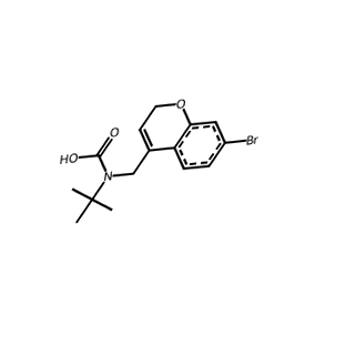 CC(C)(C)N(CC1=CCOc2cc(Br)ccc21)C(=O)O